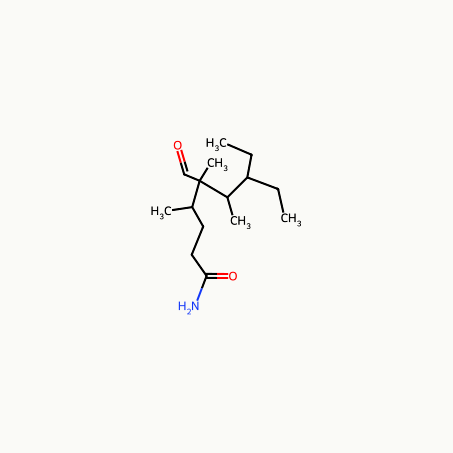 CCC(CC)C(C)C(C)(C=O)C(C)CCC(N)=O